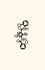 O=C(Nc1[nH]nc(C(=O)Nc2ccccc2Cl)c1Br)c1ccccc1Cl